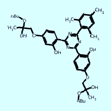 CCCCOC(C)(O)COc1ccc(-c2nc(-c3ccc(OCC(C)(O)OCCCC)cc3O)nc(-c3c(C)cc(C)cc3C)n2)c(O)c1